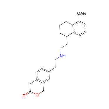 COc1cccc2c1CCCC2CCNCCc1ccc2c(c1)COC(=O)C2